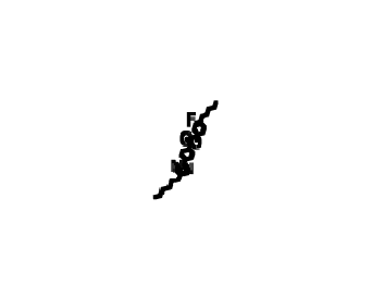 CCCCCCc1cnc(-c2ccc(C(=O)Oc3ccc(CCCCC)c(F)c3)cc2)nc1